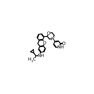 CC(Nc1ccc2c(c1)Cc1cccc(C3CN(c4cc[nH]c(=O)c4)CCO3)c1O2)C1CC1